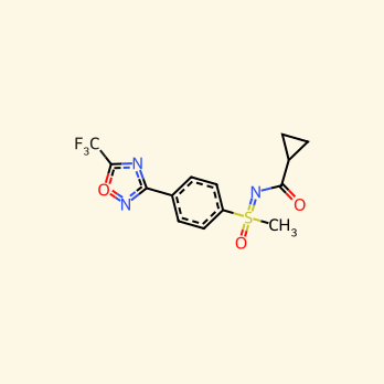 CS(=O)(=NC(=O)C1CC1)c1ccc(-c2noc(C(F)(F)F)n2)cc1